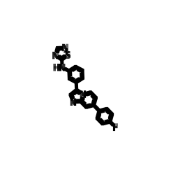 Fc1ccc(-c2ccn3c(-c4cccc(Nc5ncns5)c4)cnc3c2)cc1